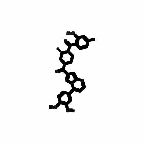 COc1ccc(-c2ccnc3cc(C(=O)N4CCN(C(=O)c5ccc(C)cc5OC)[C@@H](C)C4)nn23)cc1OC